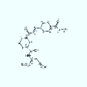 C#CC[C@H](NC(=O)[C@@H]1CCCN(C(=O)/C=C/C2CCN(C(=O)OC(C)(C)C)CC2)C1)C(=O)OCC